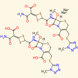 CO[C@@]1(NC(=O)C2SC(=C(C(N)=O)C(=O)O)S2)C(=O)N2C(C(=O)O)=C(CSc3nnnn3C)CS[C@@H]21.CO[C@@]1(NC(=O)C2SC(=C(C(N)=O)C(=O)[O-])S2)C(=O)N2C(C(=O)[O-])=C(CSc3nnnn3C)CS[C@@H]21.[Na+].[Na+]